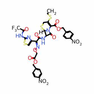 C=CSC1=C(C(=O)OCc2ccc([N+](=O)[O-])cc2)N2C(=O)C(NC(=O)C(=NOCC(=O)OCc3ccc([N+](=O)[O-])cc3)c3csc(NC(=O)C(F)(F)F)n3)[C@@H]2SC1